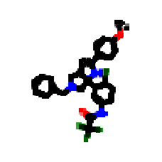 COc1ccc(CNC2(c3cc(NC(=O)C(F)(F)F)ccc3F)CN(Cc3ccccc3)CC2C)cc1